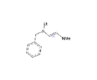 CCN(/C=C/NC)Cc1ccccc1